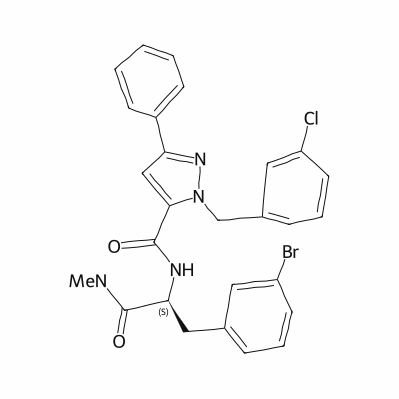 CNC(=O)[C@H](Cc1cccc(Br)c1)NC(=O)c1cc(-c2ccccc2)nn1Cc1cccc(Cl)c1